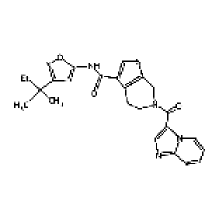 CCC(C)(C)c1cc(NC(=O)c2csc3c2CCN(C(=O)c2cnc4ccccn24)C3)on1